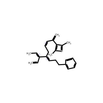 C=CC(=C\C)/C(=C/CCc1ccccc1)C/C=C\C(=C)C1=C(C)P=C1C